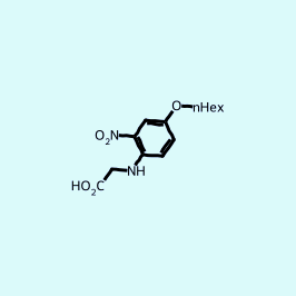 CCCCCCOc1ccc(NCC(=O)O)c([N+](=O)[O-])c1